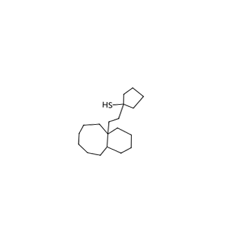 SC1(CCC23CCCCCCC2CCCC3)CCCC1